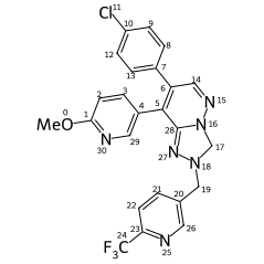 COc1ccc(C2=C(c3ccc(Cl)cc3)C=NN3CN(Cc4ccc(C(F)(F)F)nc4)N=C23)cn1